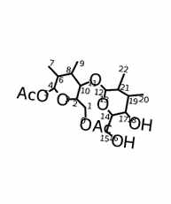 CC(=O)OCC1OC(OC(C)=O)C(C)C(C)C1OC1OC(CO)C(O)C(C)C1C